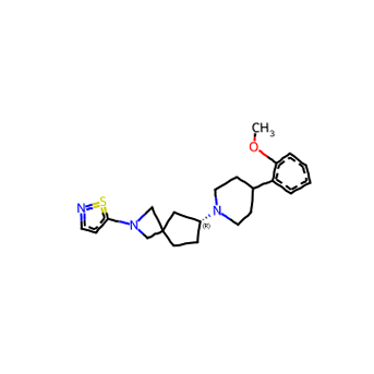 COc1ccccc1C1CCN([C@@H]2CCC3(C2)CN(c2ccns2)C3)CC1